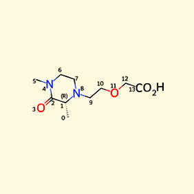 C[C@@H]1C(=O)N(C)CCN1CCOCC(=O)O